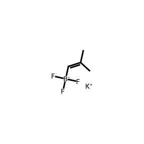 CC(C)=C[B-](F)(F)F.[K+]